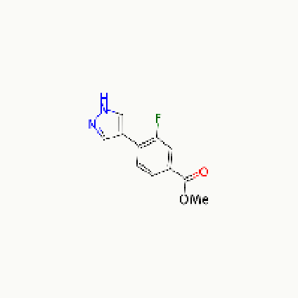 COC(=O)c1ccc(-c2cn[nH]c2)c(F)c1